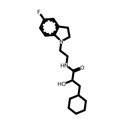 O=C(NCCN1CCc2cc(F)ccc21)C(O)CC1CCCCC1